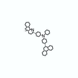 c1ccc(N(c2ccc(-c3ccc4sc5ccccc5c4n3)cc2)c2ccc(-c3cc4ccccc4c4ccccc34)cc2)cc1